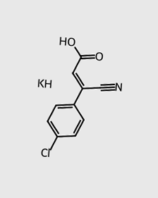 N#C/C(=C\C(=O)O)c1ccc(Cl)cc1.[KH]